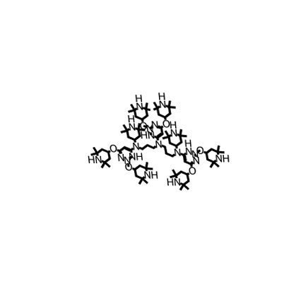 CC1(C)CC(OC2=NN(OC3CC(C)(C)NC(C)(C)C3)NC(N(CCCN(C3=CC(OC4CC(C)(C)NC(C)(C)C4)=NN(OC4CC(C)(C)NC(C)(C)C4)N3)C3CC(C)(C)NC(C)(C)C3)CCCN(C3=CC(OC4CC(C)(C)NC(C)(C)C4)=NN(OC4CC(C)(C)NC(C)(C)C4)N3)C3CC(C)(C)NC(C)(C)C3)=C2)CC(C)(C)N1